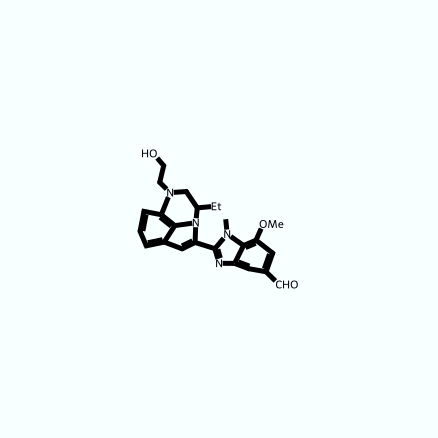 CCC1CN(CCO)c2cccc3cc(-c4nc5cc(C=O)cc(OC)c5n4C)n1c23